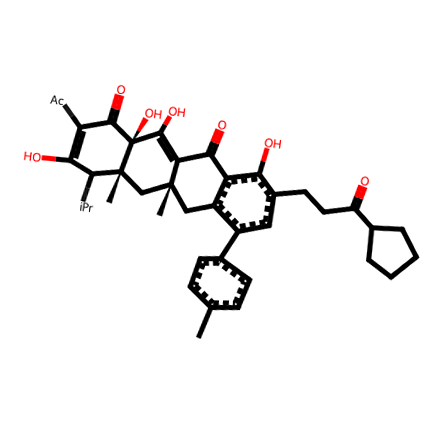 CC(=O)C1=C(O)C(C(C)C)[C@@]2(C)C[C@@]3(C)Cc4c(-c5ccc(C)cc5)cc(CCC(=O)C5CCCC5)c(O)c4C(=O)C3=C(O)[C@@]2(O)C1=O